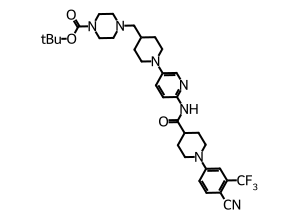 CC(C)(C)OC(=O)N1CCN(CC2CCN(c3ccc(NC(=O)C4CCN(c5ccc(C#N)c(C(F)(F)F)c5)CC4)nc3)CC2)CC1